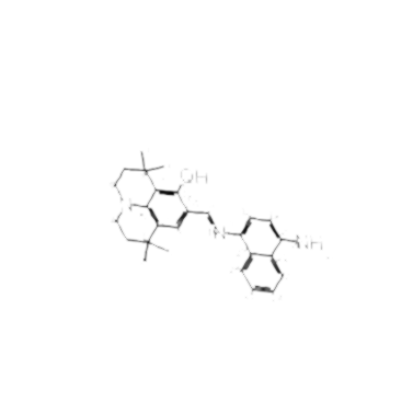 CC1(C)CCN2CCC(C)(C)c3c(O)c(/C=N/c4ccc(N)c5ccccc45)cc1c32